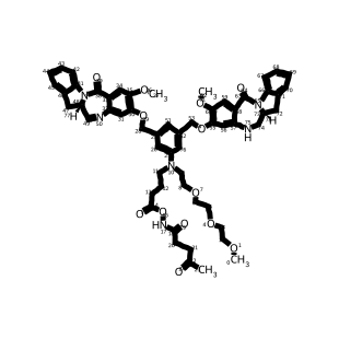 COCCOCCOCCN(CCCC(=O)ONC(=O)CCC(C)=O)c1cc(COc2cc3c(cc2OC)C(=O)N2c4ccccc4C[C@H]2C=N3)cc(COc2cc3c(cc2OC)C(=O)N2c4ccccc4C[C@H]2CN3)c1